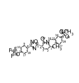 Cc1ccc(-c2nc(-c3ccc(OC(F)(F)F)cc3)no2)c(=O)n1Cc1cccc(S(C)(=O)=O)c1